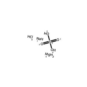 Cl.O=S(=O)(O)O.[MgH2].[NaH]